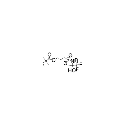 CCC(C)(C)C(=O)OCCCS(=O)(=O)NC(C)(O)C(F)(F)F